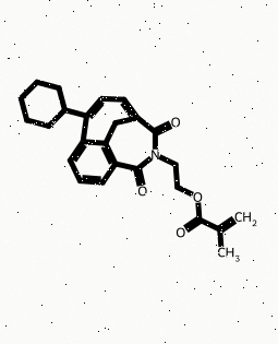 C=C(C)C(=O)OCCN1C(=O)C2=CC=C(C3CCCCC3)c3cccc(c3C2)C1=O